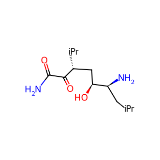 CC(C)C[C@H](N)[C@@H](O)C[C@H](C(=O)C(N)=O)C(C)C